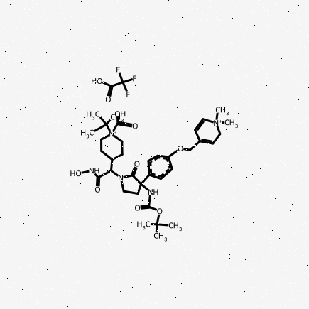 CC(C)(C)OC(=O)NC1(c2ccc(OCC3=CC[N+](C)(C)C=C3)cc2)CCN(C(C(=O)NO)C2CC[N+](C(=O)O)(C(C)(C)C)CC2)C1=O.O=C(O)C(F)(F)F